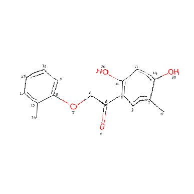 Cc1cc(C(=O)COc2ccccc2C)c(O)cc1O